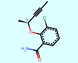 CC#C[C@H](C)Oc1c(Cl)cccc1C(N)=O